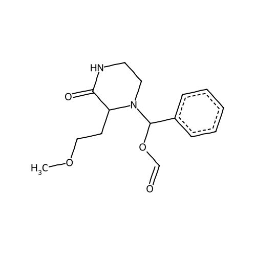 COCCC1C(=O)NCCN1C(OC=O)c1ccccc1